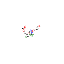 COc1ccc(COc2ncc(OC[C@@]3(c4cc(F)cc(F)c4)C[C@H]3COC(C)=O)c(C(F)(F)F)n2)cc1